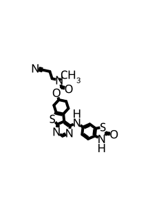 CN(CCC#N)C(=O)OC1CCc2c(sc3ncnc(Nc4ccc5[nH]c(=O)sc5c4)c23)C1